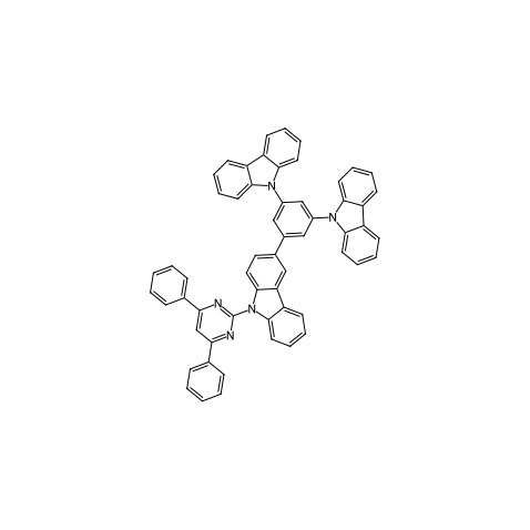 c1ccc(-c2cc(-c3ccccc3)nc(-n3c4ccccc4c4cc(-c5cc(-n6c7ccccc7c7ccccc76)cc(-n6c7ccccc7c7ccccc76)c5)ccc43)n2)cc1